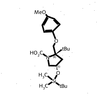 COc1ccc(OC[C@]2(C(C)(C)C)C[C@H](O[Si](C)(C)C(C)(C)C)CN2C(=O)O)cc1